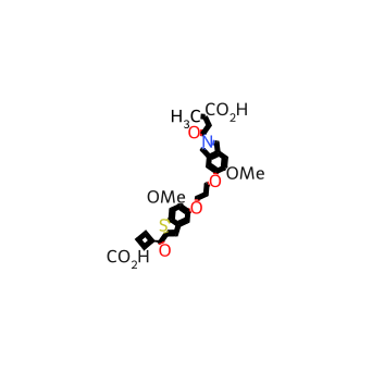 COc1cc2c(cc1OCCCOc1cc3cc(C(=O)[C@@H]4CC[C@H]4C(=O)O)sc3cc1OC)CN(C(=O)CC(C)C(=O)O)C2